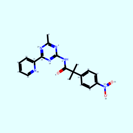 Cc1nc(NC(=O)C(C)(C)c2ccc([N+](=O)[O-])cc2)nc(-c2ccccn2)n1